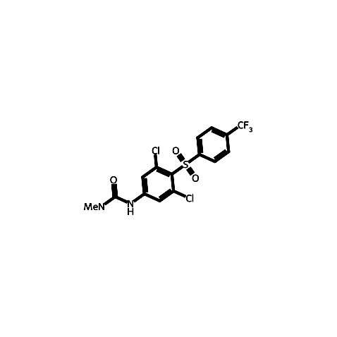 CNC(=O)Nc1cc(Cl)c(S(=O)(=O)c2ccc(C(F)(F)F)cc2)c(Cl)c1